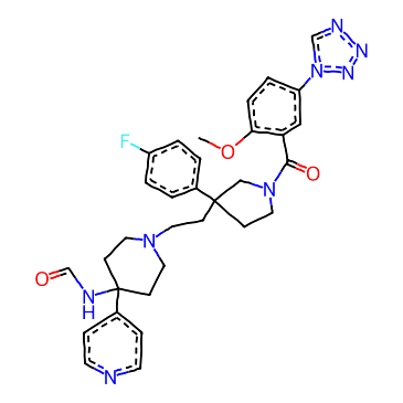 COc1ccc(-n2cnnn2)cc1C(=O)N1CCC(CCN2CCC(NC=O)(c3ccncc3)CC2)(c2ccc(F)cc2)C1